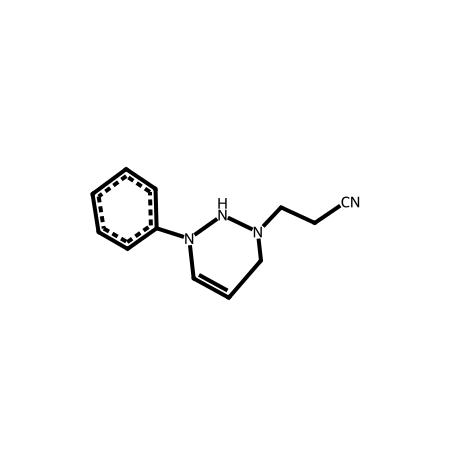 N#CCCN1CC=CN(c2ccccc2)N1